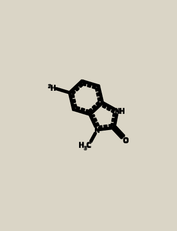 [2H]c1ccc2[nH]c(=O)n(C)c2c1